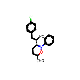 O=C[C@H]1CC[C@H](C(Cc2ccc(Cl)cc2)[N+](=O)[O-])N(c2ccccc2)O1